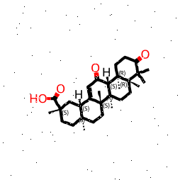 CC1(C)C(=O)CC[C@]2(C)[C@H]3C(=O)C=C4[C@H]5C[C@@](C)(C(=O)O)CC[C@]5(C)CC[C@@]4(C)[C@]3(C)CC[C@@]12C